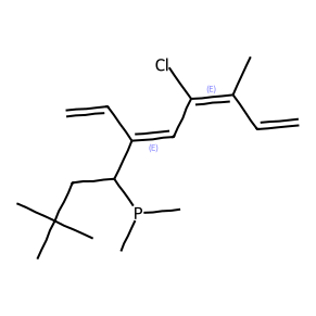 C=C/C(=C\C(Cl)=C(\C)C=C)C(CC(C)(C)C)P(C)C